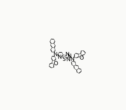 c1ccc2cc3cc(N(c4ccc5c(c4)oc4ccccc45)c4ccc5c(n4)sc4nc(N(c6ccc7cc8ccccc8cc7c6)c6ccc7c(c6)oc6ccccc67)nnc45)ccc3cc2c1